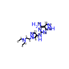 CCN(CC)CCn1cc(Nc2nc(N)c3cn[nH]c3n2)cn1